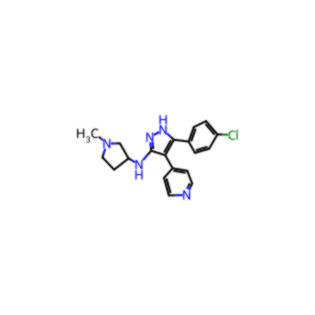 CN1CCC(Nc2n[nH]c(-c3ccc(Cl)cc3)c2-c2ccncc2)C1